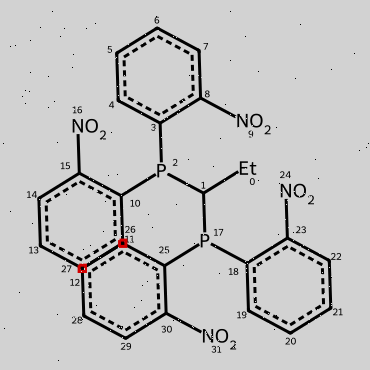 CCC(P(c1ccccc1[N+](=O)[O-])c1ccccc1[N+](=O)[O-])P(c1ccccc1[N+](=O)[O-])c1ccccc1[N+](=O)[O-]